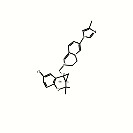 Cc1cn(C2=CN3CCN(C[C@]45C[C@H]4C(C)(C)Oc4ccc(Cl)cc45)C=C3C=C2)cn1